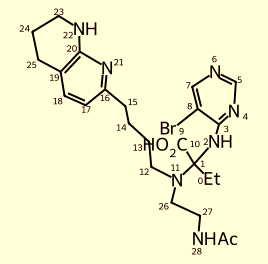 CCC(Nc1ncncc1Br)(C(=O)O)N(CCCCc1ccc2c(n1)NCCC2)CCNC(C)=O